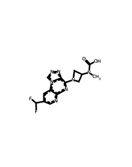 CN(C(=O)O)C1CN(c2nc3ncc(C(F)F)cc3n3cnnc23)C1